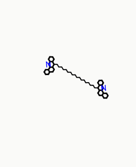 c1ccc2c(c1)ccc1c(CCCCCCCCCCCCCCCCCCc3c4ccccc4nc4c3ccc3ccccc34)c3ccccc3nc12